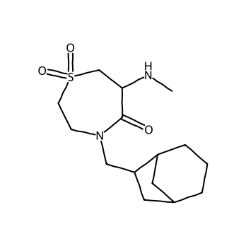 CNC1CS(=O)(=O)CCN(CC2CC3CCCC2C3)C1=O